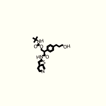 CC(C)(C)NC(=O)OCC(C(=O)Nc1cc2ccncc2s1)c1ccc(CCCO)cc1